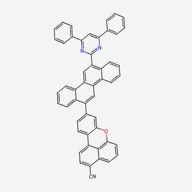 N#Cc1ccc2c3c(cccc13)Oc1cc(-c3cc4c5ccccc5c(-c5nc(-c6ccccc6)cc(-c6ccccc6)n5)cc4c4ccccc34)ccc1-2